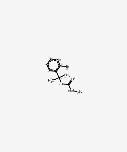 CC(C)(C)NC(=O)OC(C)(C)c1cccnc1Br